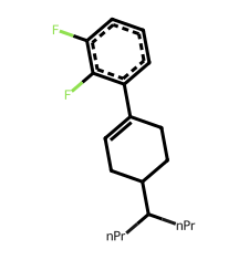 CCCC(CCC)C1CC=C(c2cccc(F)c2F)CC1